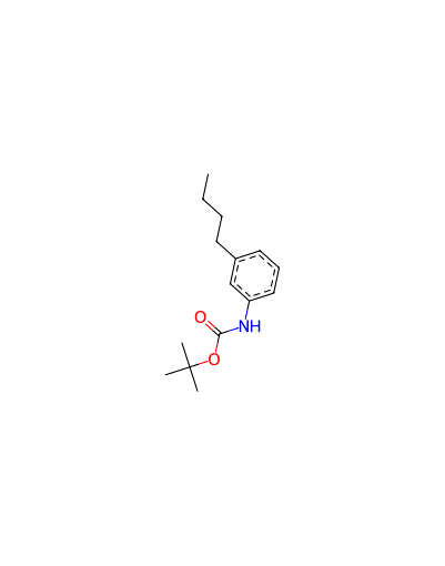 CCCCc1cccc(NC(=O)OC(C)(C)C)c1